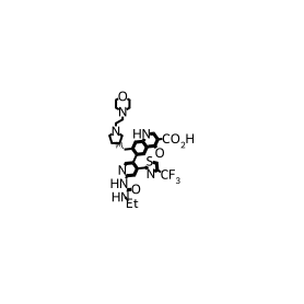 CCNC(=O)Nc1cc(-c2nc(C(F)(F)F)cs2)c(-c2cc3c(=O)c(C(=O)O)c[nH]c3cc2C[C@@H]2CCN(CCN3CCOCC3)C2)cn1